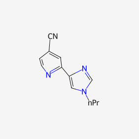 CCCn1cnc(-c2cc(C#N)ccn2)c1